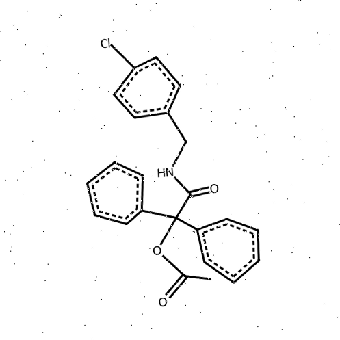 CC(=O)OC(C(=O)NCc1ccc(Cl)cc1)(c1ccccc1)c1ccccc1